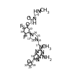 CNCCNC(=O)COc1cc(N2CCN(CCN(C)c3nc(N)n4nc(-c5ccco5)cc4n3)CC2)c(F)cc1F